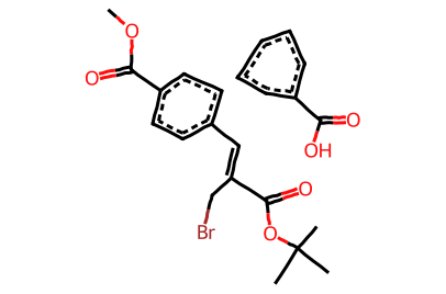 COC(=O)c1ccc(C=C(CBr)C(=O)OC(C)(C)C)cc1.O=C(O)c1ccccc1